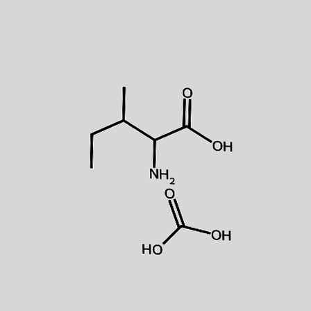 CCC(C)C(N)C(=O)O.O=C(O)O